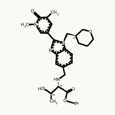 Cc1cc(-c2nc3cc(CN[C@H](C(=O)OC(C)C)[C@@H](C)O)ccc3n2C[C@@H]2CCCOC2)cn(C)c1=O